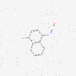 O=C=Nc1ccc(Cl)c2ccccc12